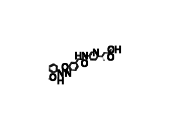 COc1ccccc1Nc1nc2ccc(CC(=O)Nc3ccc([C@@H](C)CC(=O)O)nc3)cc2o1